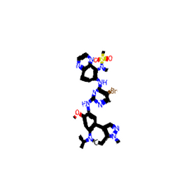 COc1cc2c(cc1Nc1ncc(Br)c(Nc3ccc4nccnc4c3N(C)S(C)(=O)=O)n1)-c1cnn(C)c1CCN2C(C)C